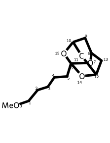 COCCCCCC12OC3CC(CC(C3)O1)O2